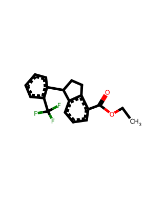 CCOC(=O)c1cccc2c1CCC2c1ccccc1C(F)(F)F